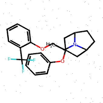 CC1(Oc2ccccc2)CC2CCC(C1)N2CCOc1ccccc1C(F)(F)F